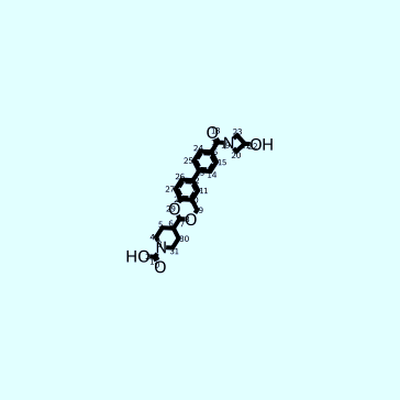 O=C(O)N1CCC(C2OCc3cc(-c4ccc(C(=O)N5CC(O)C5)cc4)ccc3O2)CC1